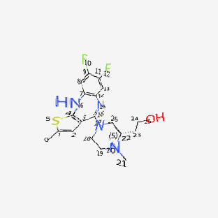 Cc1cc2c(s1)Nc1cc(F)c(F)cc1N=C2N1CCN(C)[C@@H](CCO)C1